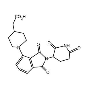 O=C(O)CC1CCN(c2cccc3c2C(=O)N(C2CCC(=O)NC2=O)C3=O)CC1